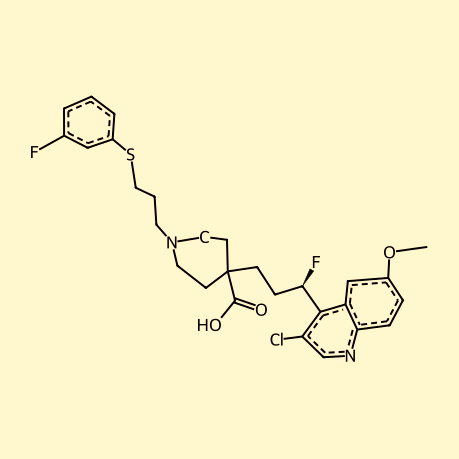 COc1ccc2ncc(Cl)c([C@H](F)CCC3(C(=O)O)CCN(CCCSc4cccc(F)c4)CC3)c2c1